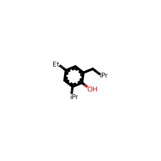 CCc1cc(CC(C)C)c(O)c(C(C)C)c1